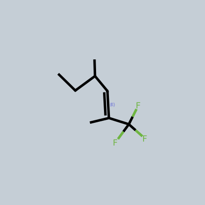 CCC(C)/C=C(\C)C(F)(F)F